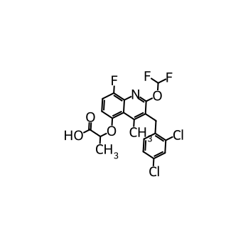 Cc1c(Cc2ccc(Cl)cc2Cl)c(OC(F)F)nc2c(F)ccc(OC(C)C(=O)O)c12